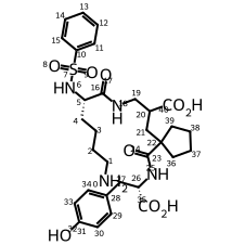 NCCCC[C@H](NS(=O)(=O)c1ccccc1)C(=O)NCC(CC1(C(=O)N[C@@H](Cc2ccc(O)cc2)C(=O)O)CCCC1)C(=O)O